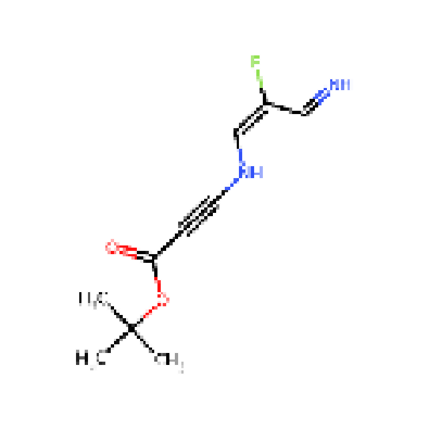 CC(C)(C)OC(=O)C#CN/C=C(/F)C=N